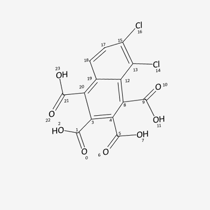 O=C(O)c1c(C(=O)O)c(C(=O)O)c2c(Cl)c(Cl)ccc2c1C(=O)O